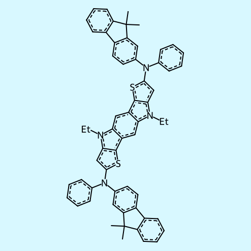 CCn1c2cc3c4sc(N(c5ccccc5)c5ccc6c(c5)C(C)(C)c5ccccc5-6)cc4n(CC)c3cc2c2sc(N(c3ccccc3)c3ccc4c(c3)C(C)(C)c3ccccc3-4)cc21